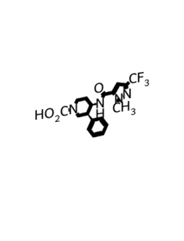 Cn1nc(C(F)(F)F)cc1C(=O)N[C@@H]1CCN(C(=O)O)C[C@@H]1c1ccccc1